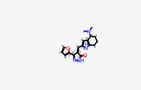 CN(C)C1CCCc2[nH]c(/C=C3\C(=O)NN=C3c3ccco3)cc21